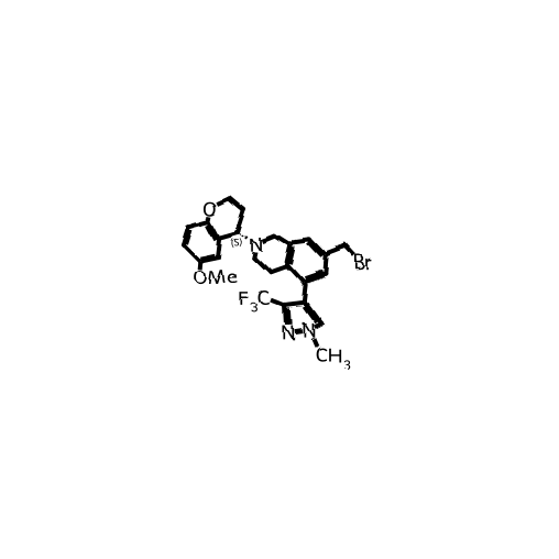 COc1ccc2c(c1)[C@@H](N1CCc3c(cc(CBr)cc3-c3cn(C)nc3C(F)(F)F)C1)CCO2